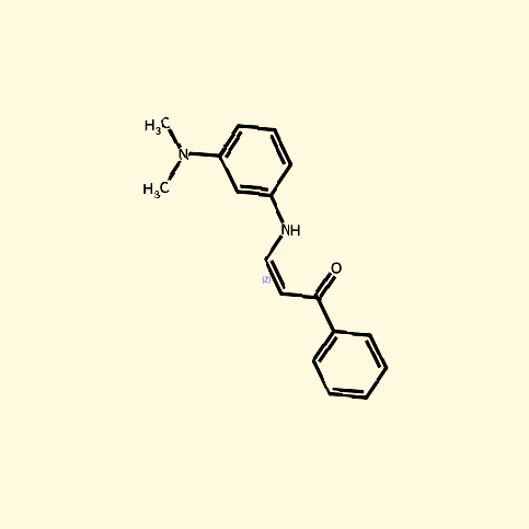 CN(C)c1cccc(N/C=C\C(=O)c2ccccc2)c1